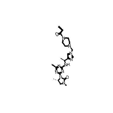 C=CC(=O)N1CCN(Cn2cnc([C@H](C)Nc3nc(C)nc(N4C(=O)N(C)C[C@@H]4C)n3)c2)CC1